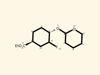 CCOC(=O)[C@H]1CC[C@H](OC2CCCCO2)C(F)C1